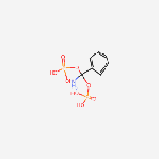 NC(OP(=O)(O)O)(OP(=O)(O)O)c1ccccc1